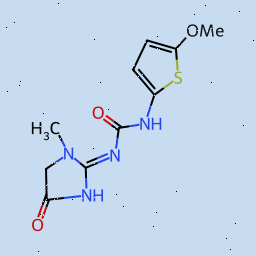 COc1ccc(NC(=O)N=C2NC(=O)CN2C)s1